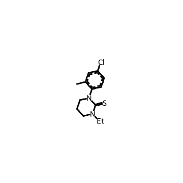 CCN1CCCN(c2ccc(Cl)cc2C)C1=S